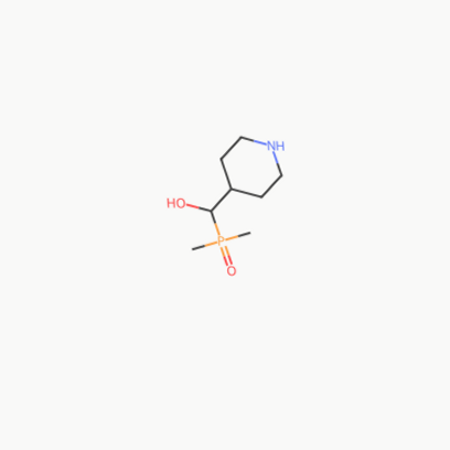 CP(C)(=O)C(O)C1CCNCC1